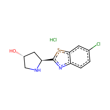 Cl.O[C@H]1CN[C@H](c2nc3ccc(Cl)cc3s2)C1